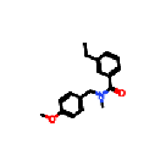 CCc1cccc(C(=O)N(C)Cc2ccc(OC)cc2)c1